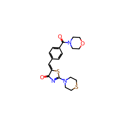 O=C1N=C(N2CCSCC2)SC1=Cc1ccc(C(=O)N2CCOCC2)cc1